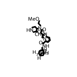 COCCCN(C(=O)Cc1cn2c(C(=O)NC[C@@H]3CC[C@@H]4C[C@H]3C4(C)C)cccc2n1)C1CCNCC1(C)C